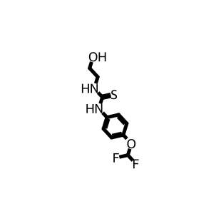 OCCNC(=S)Nc1ccc(OC(F)F)cc1